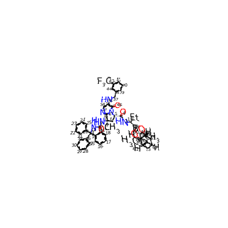 CC[C@H](NC(=O)[C@@H]1C[C@@](C)(NC(=O)NC(c2ccccc2)(c2ccccc2)c2ccccc2)c2ncc(NCc3cccc(C(F)(F)F)c3)c(=O)n21)B1O[C@@H]2C[C@@H]3C[C@@H](C3(C)C)[C@]2(C)O1